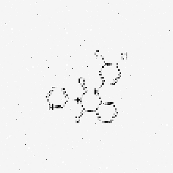 O=c1c2ccccc2n(-c2ccc(Cl)c(Cl)c2)c(=O)n1-c1cccnc1